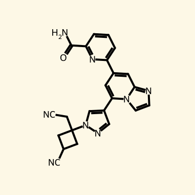 N#CCC1(n2cc(-c3cc(-c4cccc(C(N)=O)n4)cc4nccn34)cn2)CC(C#N)C1